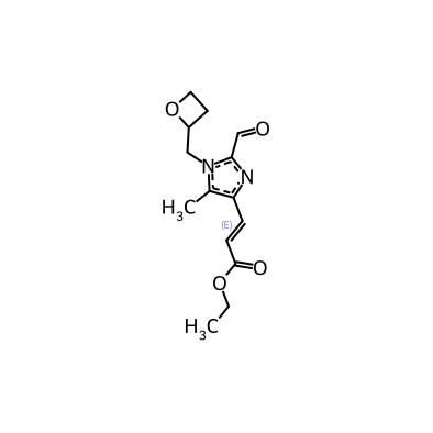 CCOC(=O)/C=C/c1nc(C=O)n(CC2CCO2)c1C